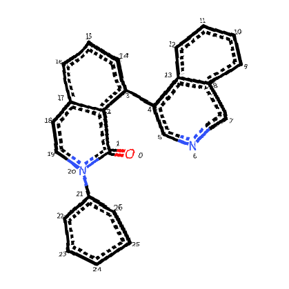 O=c1c2c(-c3cncc4ccccc34)cccc2ccn1-c1ccccc1